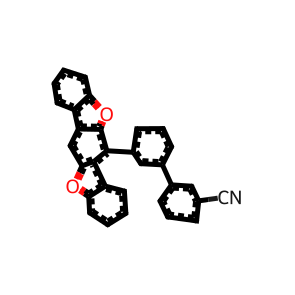 N#Cc1cccc(-c2cccc(-c3c4oc5ccccc5c4cc4oc5ccccc5c34)c2)c1